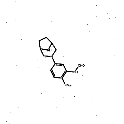 CNc1ccc(N2CC3CCC(C2)N3)cc1NC=O